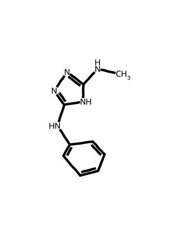 CNc1nnc(Nc2ccccc2)[nH]1